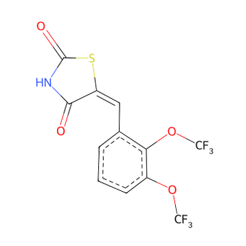 O=C1NC(=O)/C(=C\c2cccc(OC(F)(F)F)c2OC(F)(F)F)S1